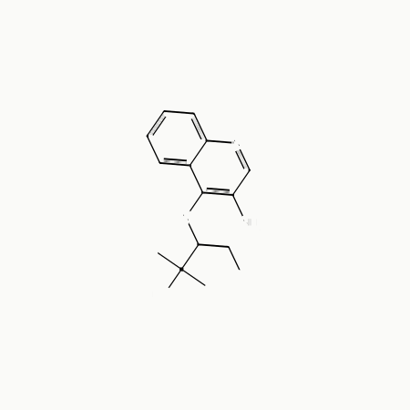 CC(C)CC(Nc1c(N)cnc2ccccc12)C(C)(C)O